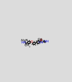 CNc1cc(Oc2cccc(-c3ccc(C(=O)NC4CNC4)c(C)c3)c2)ccc1C(C)=N